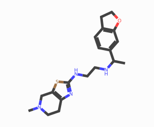 CC(NCCNc1nc2c(s1)CN(C)CC2)c1ccc2c(c1)OCC2